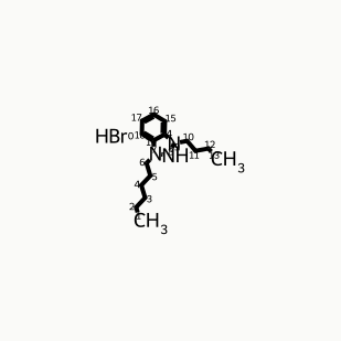 Br.CCCCCCN1NN(CCCC)c2ccccc21